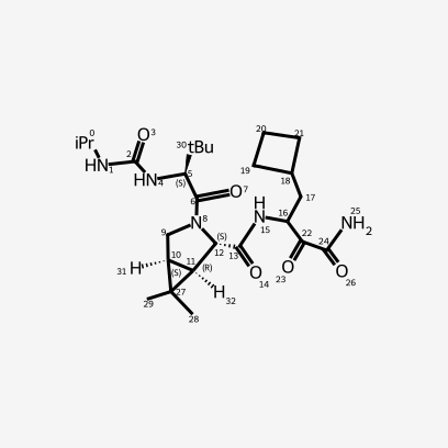 CC(C)NC(=O)N[C@H](C(=O)N1C[C@H]2[C@@H]([C@H]1C(=O)NC(CC1CCC1)C(=O)C(N)=O)C2(C)C)C(C)(C)C